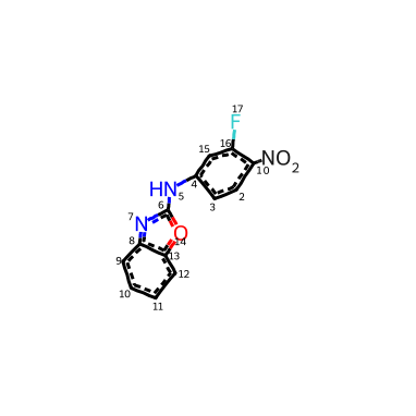 O=[N+]([O-])c1ccc(Nc2nc3ccccc3o2)cc1F